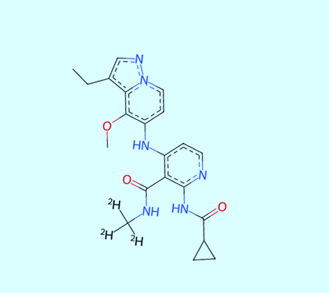 [2H]C([2H])([2H])NC(=O)c1c(Nc2ccn3ncc(CC)c3c2OC)ccnc1NC(=O)C1CC1